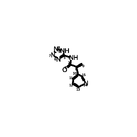 C=C(C(=O)Nc1nnn[nH]1)c1cccnc1